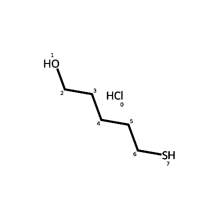 Cl.OCCCCCS